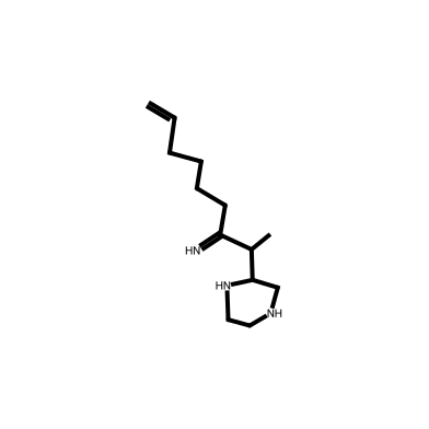 C=CCCCCC(=N)C(C)C1CNCCN1